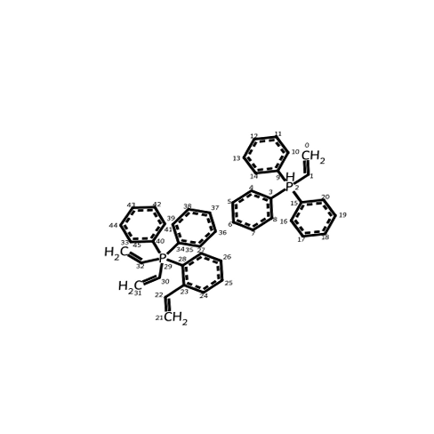 C=C[PH](c1ccccc1)(c1ccccc1)c1ccccc1.C=Cc1ccccc1P(C=C)(C=C)(c1ccccc1)c1ccccc1